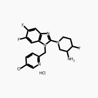 Cl.NC1CN(c2nc3cc(F)c(F)cc3n2Cc2ccc(Cl)cn2)CCC1F